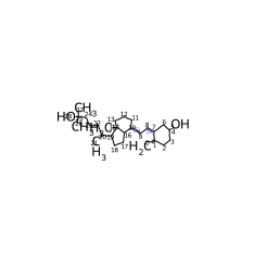 C=C1CCC(O)C/C1=C/C=C1\CCCC2(C)C1CCC2C(C)CCCC(C)(C)O